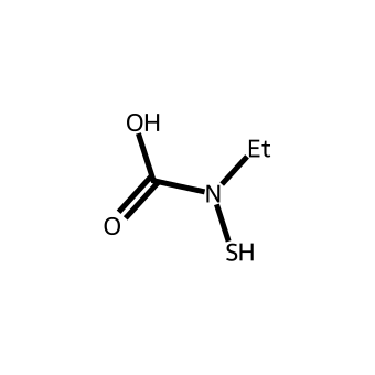 CCN(S)C(=O)O